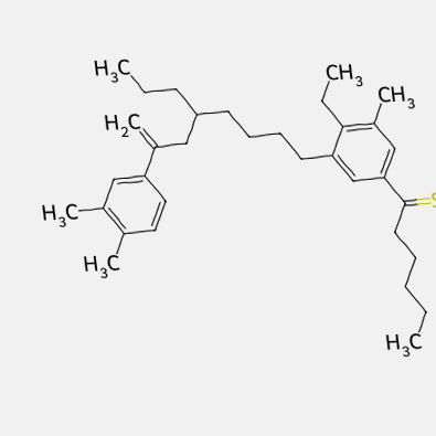 C=C(CC(CCC)CCCCc1cc(C(=S)CCCCC)cc(C)c1CC)c1ccc(C)c(C)c1